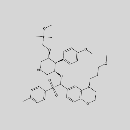 COCCCN1CCOc2ccc(C(O[C@H]3CNC[C@@H](OCC(C)(C)OC)[C@H]3c3ccc(OC)cc3)S(=O)(=O)c3ccc(C)cc3)cc21